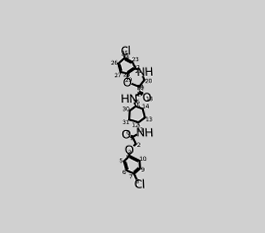 O=C(COc1ccc(Cl)cc1)N[C@H]1CC[C@H](NC(=O)[C@H]2CNc3cc(Cl)ccc3O2)CC1